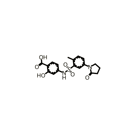 Cc1ccc(N2CCCC2=O)cc1S(=O)(=O)Nc1ccc(C(=O)O)c(O)c1